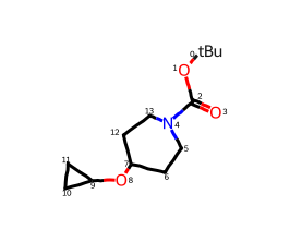 CC(C)(C)OC(=O)N1CCC(OC2CC2)CC1